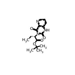 CC[C@@H](C(=O)OC(C)(C)C)n1c(=O)[nH]c2cccnc2c1=O